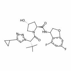 CC(C)(C)[C@@H](C(=O)N1C[C@H](O)C[C@H]1C(=O)NC1COc2cc(F)cc(F)c21)n1cc(C2CC2)nn1